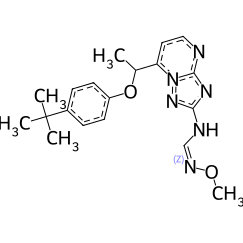 CO/N=C\Nc1nc2nccc(C(C)Oc3ccc(C(C)(C)C)cc3)n2n1